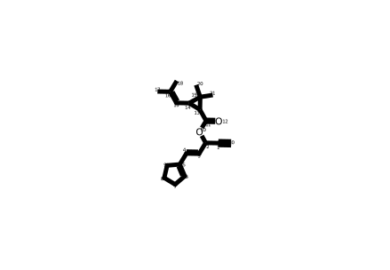 C#CC(C=CC1=CCCC1)OC(=O)C1C(C=C(C)C)C1(C)C